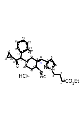 CCOC(=O)CCCn1ccc(/C=C2/CN(C(C(=O)C3CC3)c3ccccc3F)CCC2SC(C)=O)n1.Cl